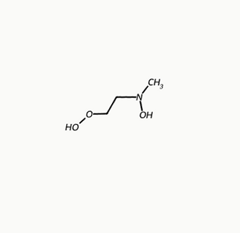 CN(O)CCOO